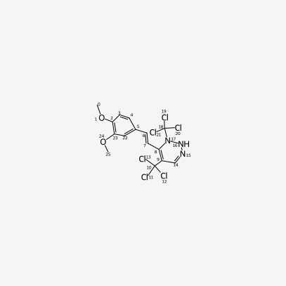 COc1ccc(C=CC2=C(C(Cl)(Cl)Cl)C=NNN2C(Cl)(Cl)Cl)cc1OC